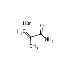 Br.C=C(C)C(N)=O